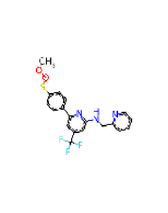 COOSc1ccc(-c2cc(C(F)(F)F)cc(NCc3ccccn3)n2)cc1